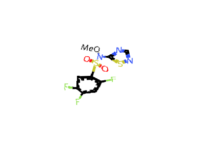 CON(c1ncns1)S(=O)(=O)c1cc(F)c(F)cc1F